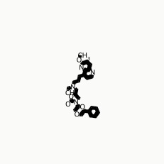 CCN(CCCc1ccnc2ccc(OC)nc12)CC1CN(C2=COC=C(C3=CC=CCC3)O2)C(=O)O1